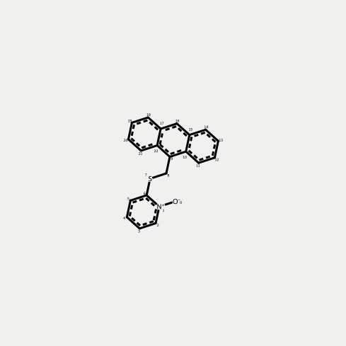 [O-][n+]1ccccc1SCc1c2ccccc2cc2ccccc12